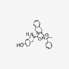 Cc1oc([C@@H]2Cc3ccccc3CN2C(=O)[C@@H](N)Cc2ccc(O)cc2)nc1-c1ccccc1